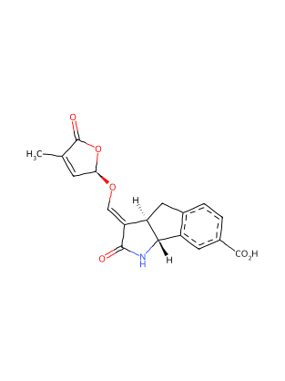 CC1=C[C@H](O/C=C2/C(=O)N[C@H]3c4cc(C(=O)O)ccc4C[C@H]23)OC1=O